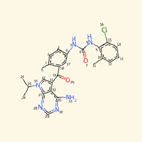 Cc1ccc(NC(=O)Nc2c(C)cccc2Cl)cc1C(=O)c1cn(C(C)C)c2ncnc(N)c12